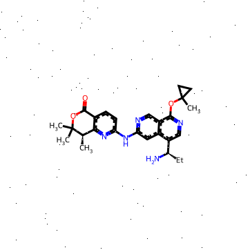 CC[C@@H](N)c1cnc(OC2(C)CC2)c2cnc(Nc3ccc4c(n3)[C@@H](C)C(C)(C)OC4=O)cc12